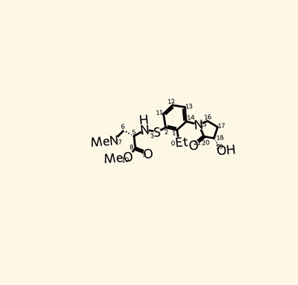 CCc1c(SN[C@@H](CNC)C(=O)OC)cccc1N1CC[C@H](O)C1=O